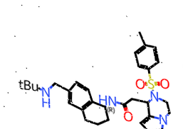 Cc1ccc(S(=O)(=O)N2CCn3cccc3C2CC(=O)N[C@@H]2CCCc3cc(CNC(C)(C)C)ccc32)cc1